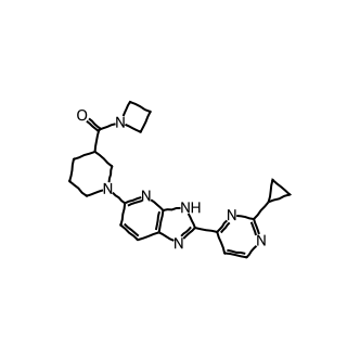 O=C(C1CCCN(c2ccc3nc(-c4ccnc(C5CC5)n4)[nH]c3n2)C1)N1CCC1